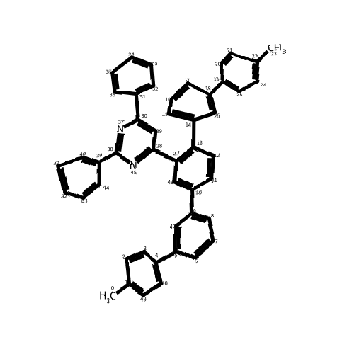 Cc1ccc(-c2cccc(-c3ccc(-c4cccc(-c5ccc(C)cc5)c4)c(-c4cc(-c5ccccc5)nc(-c5ccccc5)n4)c3)c2)cc1